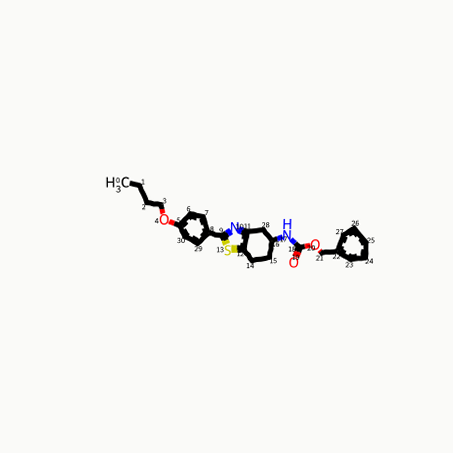 CCCCOc1ccc(-c2nc3c(s2)CCC(NC(=O)OCc2ccccc2)C3)cc1